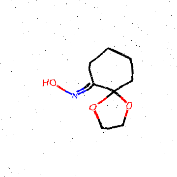 ON=C1CCCCC12OCCO2